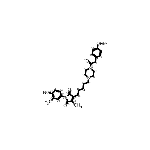 COc1ccc(CC(=O)N2CCN(CCCCCC3=C(C)C(=O)N(c4ccc(C#N)c(C(F)(F)F)c4)C3=O)CC2)cc1